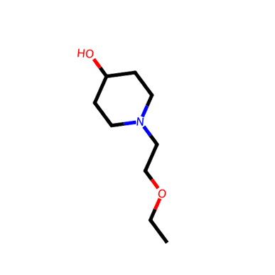 CCOCCN1CCC(O)CC1